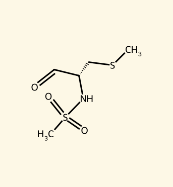 CSC[C@@H](C=O)NS(C)(=O)=O